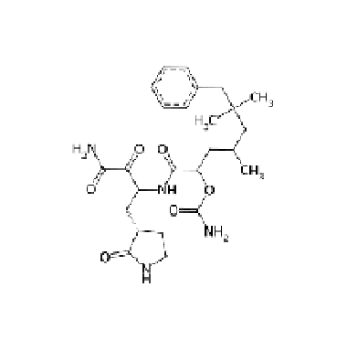 CC(CC(OC(N)=O)C(=O)NC(C[C@@H]1CCNC1=O)C(=O)C(N)=O)CC(C)(C)Cc1ccccc1